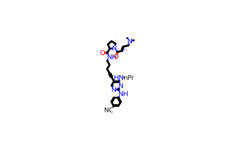 CCCNc1nc(Nc2ccc(C#N)cc2)ncc1C#CCCCNC(=O)C1CCCN1C(=O)/C=C/CN(C)C